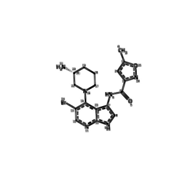 Cc1cc(C(=O)Nc2c[nH]c3ncc(Br)c(N4CCC[C@@H](N)C4)c23)no1